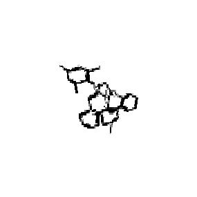 Cc1cc(C)c(N2CCN(c3c(C)cc(C)cc3C)C2=Cc2ccccc2N=Cc2ccccc2O)c(C)c1